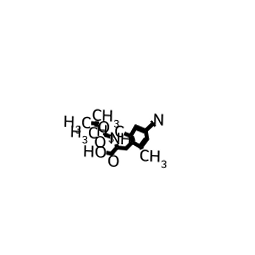 Cc1cc(C#N)cc(C)c1CC(NC(=O)OC(C)(C)C)C(=O)O